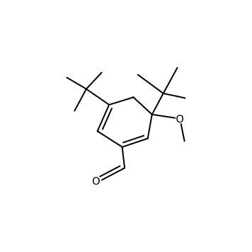 COC1(C(C)(C)C)C=C(C=O)C=C(C(C)(C)C)C1